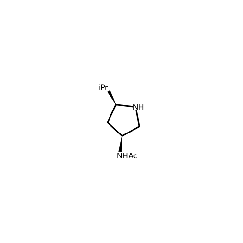 CC(=O)N[C@@H]1CN[C@H](C(C)C)C1